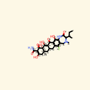 CCC(C)C1C(=O)Nc2c(O)c3c(c(F)c2CN1C)CC1C[C@H]2CC(O)=C(C(N)=O)C(=O)[C@@]2(O)C(O)=C1C3=O